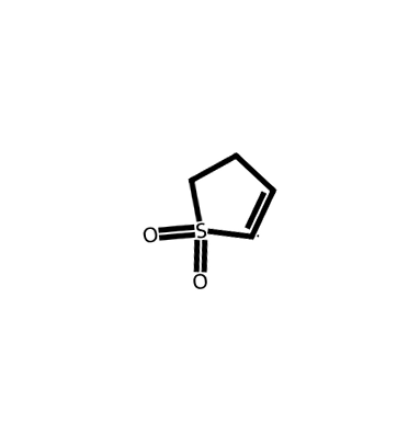 O=S1(=O)[C]=CCC1